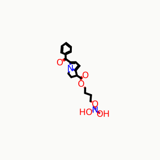 O=C(c1ccccc1)c1ccc2n1CCC2C(=O)OCCCCON(O)O